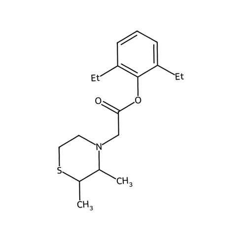 CCc1cccc(CC)c1OC(=O)CN1CCSC(C)C1C